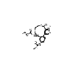 CCOC(=O)C[C@@H]1CCCCC(N)c2cc(cnn2)-c2ccc(NC(=O)OC)cc2N1